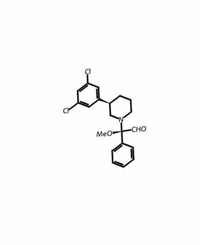 CO[C@@](C=O)(c1ccccc1)N1CCC[C@H](c2cc(Cl)cc(Cl)c2)C1